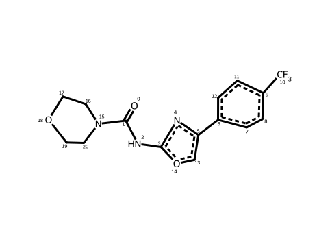 O=C(Nc1nc(-c2ccc(C(F)(F)F)cc2)co1)N1CCOCC1